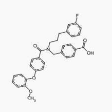 COc1ccccc1Oc1ccc(C(=O)N(CCCc2cccc(F)c2)Cc2ccc(C(=O)O)cc2)cc1